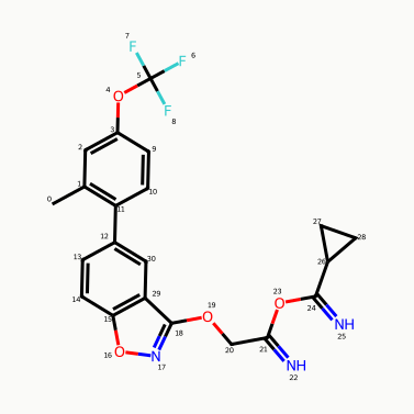 Cc1cc(OC(F)(F)F)ccc1-c1ccc2onc(OCC(=N)OC(=N)C3CC3)c2c1